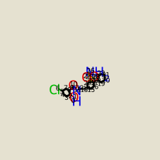 COc1ccc(Cl)cc1C(=O)NCCc1ccc(-c2ccccc2)c(S(N)(=O)=O)c1